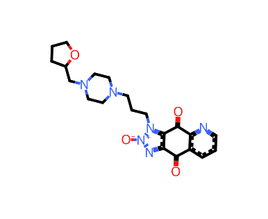 O=C1c2cccnc2C(=O)c2c1n[n+]([O-])n2CCCN1CCN(CC2CCCO2)CC1